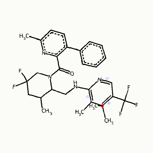 C\C=C(/C=N\C(NCC1C(C)CC(F)(F)CN1C(=O)c1nc(C)ccc1-c1ccccc1)=C(\C)CC)C(F)(F)F